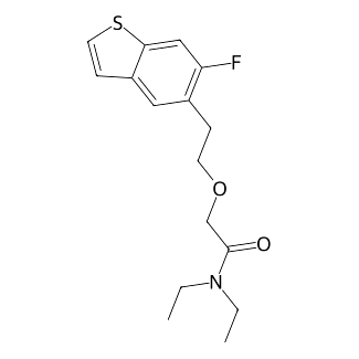 CCN(CC)C(=O)COCCc1cc2ccsc2cc1F